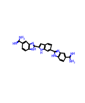 N=C(N)c1ccc2[nH]c(-c3ccc4cc(-c5nc6cc(C(=N)N)ccc6[nH]5)[nH]c4c3)nc2c1